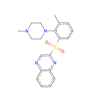 Cc1cccc(S(=O)(=O)c2cnc3ccccc3n2)c1N1CCN(C)CC1